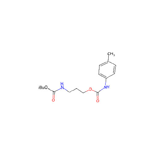 Cc1ccc(NC(=O)OCCCNC(=O)OCC(C)C)cc1